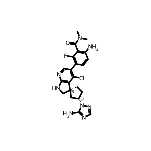 CN(C)C(=O)c1c(N)ccc(-c2cnc3c(c2Cl)[C@]2(CC[C@H](n4ncnc4N)C2)CN3)c1F